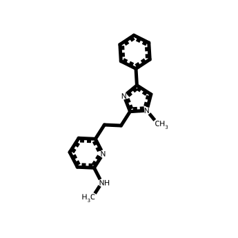 CNc1cccc(CCc2nc(-c3ccccc3)cn2C)n1